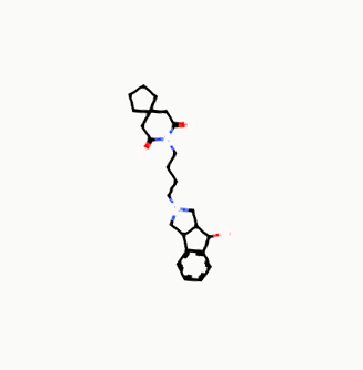 O=C1CC2(CCCC2)CC(=O)N1CCCCN1CC2c3ccccc3C(O)C2C1